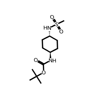 CC(C)(C)OC(=O)N[C@H]1CC[C@H](NS(C)(=O)=O)CC1